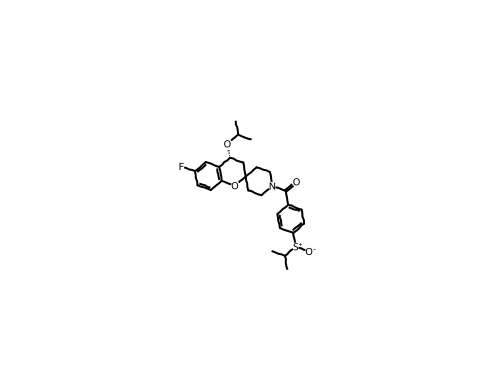 CC(C)O[C@@H]1CC2(CCN(C(=O)c3ccc([S+]([O-])C(C)C)cc3)CC2)Oc2ccc(F)cc21